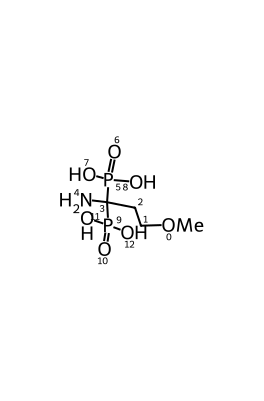 COCCC(N)(P(=O)(O)O)P(=O)(O)O